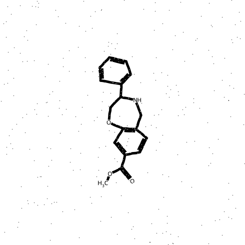 COC(=O)c1ccc2c(c1)OCC(c1ccccc1)NC2